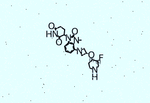 Cn1c(=O)n(C2CCC(=O)NC2=O)c2cccc(N3CC(O[C@H]4CCNC[C@@H]4F)C3)c21